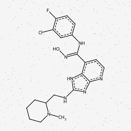 CN1CCCCC1CNc1nc2nccc(C(=NO)Nc3ccc(F)c(Cl)c3)c2[nH]1